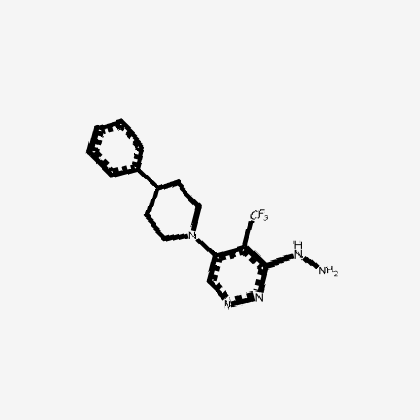 NNc1nncc(N2CCC(c3ccccc3)CC2)c1C(F)(F)F